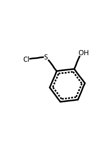 Oc1ccccc1SCl